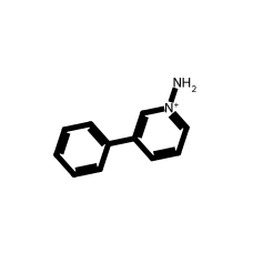 N[n+]1cccc(-c2ccccc2)c1